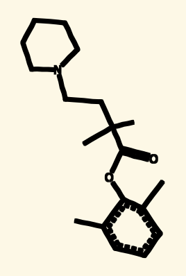 Cc1cccc(C)c1OC(=O)C(C)(C)CCN1CCCCC1